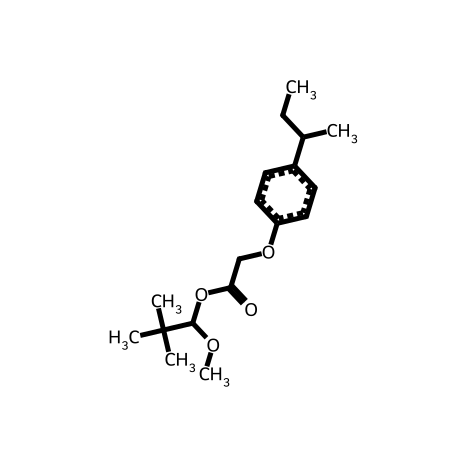 CCC(C)c1ccc(OCC(=O)OC(OC)C(C)(C)C)cc1